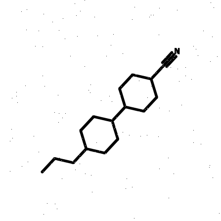 CCCC1CCC(C2CCC(C#N)CC2)CC1